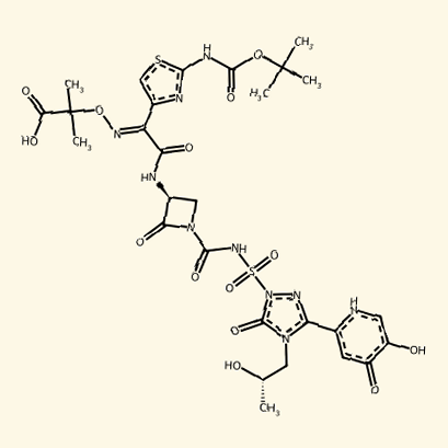 C[C@H](O)Cn1c(-c2cc(=O)c(O)c[nH]2)nn(S(=O)(=O)NC(=O)N2C[C@H](NC(=O)C(=NOC(C)(C)C(=O)O)c3csc(NC(=O)OC(C)(C)C)n3)C2=O)c1=O